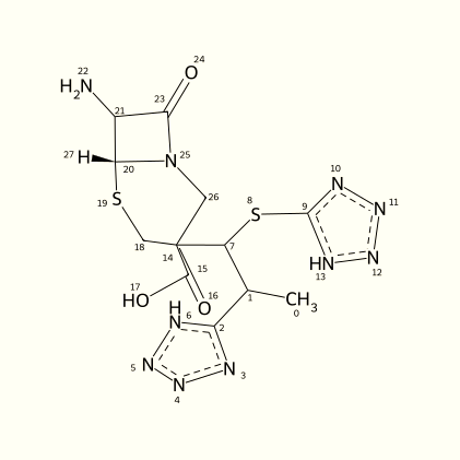 CC(c1nnn[nH]1)C(Sc1nnn[nH]1)C1(C(=O)O)CS[C@@H]2C(N)C(=O)N2C1